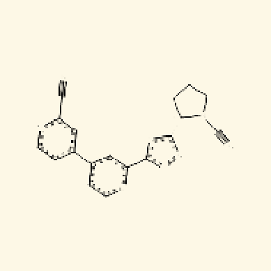 N#Cc1cc(-c2ccnc(-c3nc([C@@H]4CCCN4C#N)no3)c2)ccn1